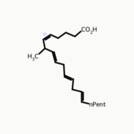 CCCCCC=CCC=CCC=CC(C)/C=C\CCCC(=O)O